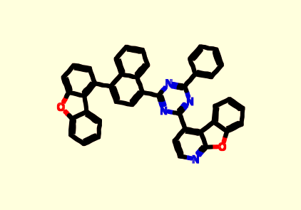 c1ccc(-c2nc(-c3ccc(-c4cccc5oc6ccccc6c45)c4ccccc34)nc(-c3ccnc4oc5ccccc5c34)n2)cc1